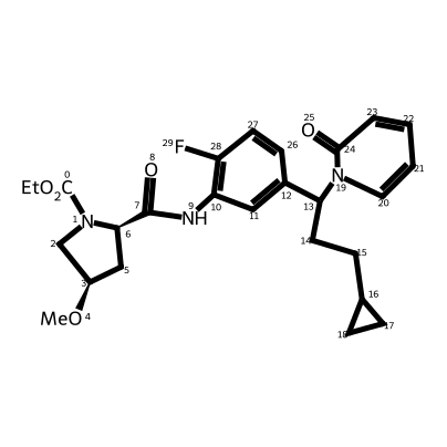 CCOC(=O)N1C[C@H](OC)C[C@@H]1C(=O)Nc1cc(C(CCC2CC2)n2ccccc2=O)ccc1F